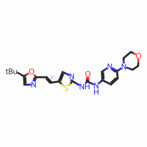 CC(C)(C)c1cnc(/C=C/c2cnc(NC(=O)Nc3ccc(N4CCOCC4)nc3)s2)o1